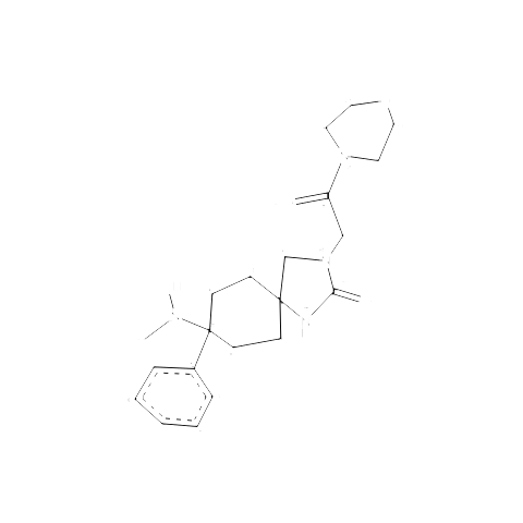 CN(C)C1(c2ccccc2)CCC2(CC1)CN(CC(=O)N1CCOCC1)C(=O)N2